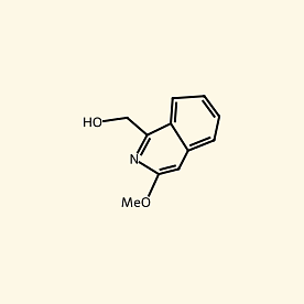 COc1cc2ccccc2c(CO)n1